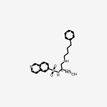 C[C@H](CNCCCCc1ccccc1)NS(=O)(=O)c1ccc2cnccc2c1.Cl.Cl